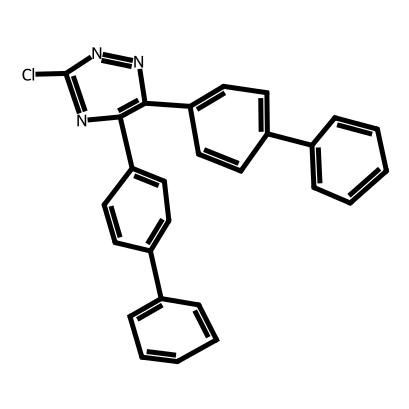 Clc1nnc(-c2ccc(-c3ccccc3)cc2)c(-c2ccc(-c3ccccc3)cc2)n1